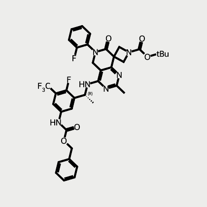 Cc1nc(N[C@H](C)c2cc(NC(=O)OCc3ccccc3)cc(C(F)(F)F)c2F)c2c(n1)C1(CN(C(=O)OC(C)(C)C)C1)C(=O)N(c1ccccc1F)C2